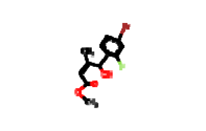 COC(=O)/C=C(/C)C(O)c1ccc(Br)cc1F